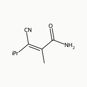 CC(C(N)=O)=C(C#N)C(C)C